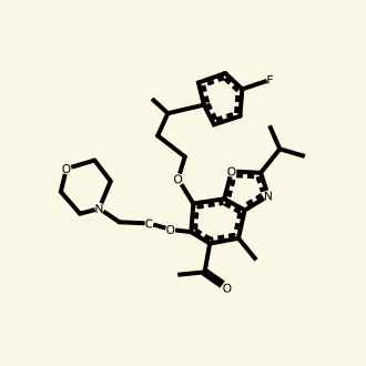 CC(=O)c1c(OCCN2CCOCC2)c(OCCC(C)c2ccc(F)cc2)c2oc(C(C)C)nc2c1C